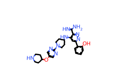 N=C(N)c1nnc(-c2ccccc2O)cc1NC1CCN(c2ncc(OC3CCNCC3)cn2)CC1